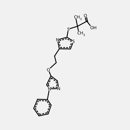 CC(C)(Sc1nc(CCOc2cnn(-c3ccccc3)c2)cs1)C(=O)O